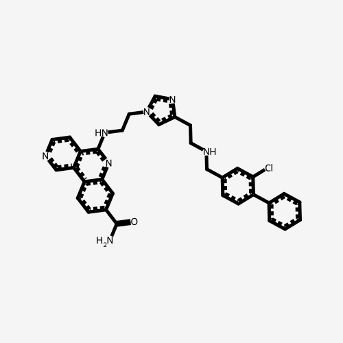 NC(=O)c1ccc2c(c1)nc(NCCn1cnc(CCNCc3ccc(-c4ccccc4)c(Cl)c3)c1)c1ccncc12